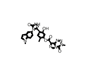 Cc1cc(-c2n[nH]c(=O)n2-c2ccc3c(ccn3C)c2)c(O)cc1OC(=O)c1ncn2c(=O)n(C)nnc12